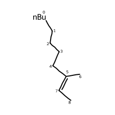 [CH2]CCCCCCC/C(C)=C/C